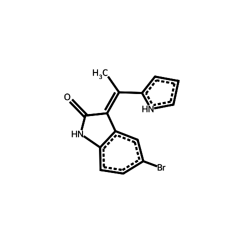 CC(=C1C(=O)Nc2ccc(Br)cc21)c1ccc[nH]1